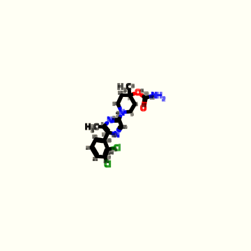 Cc1nc(N2CCC(C)(OC(N)=O)CC2)cnc1-c1cccc(Cl)c1Cl